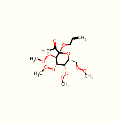 C=CCO[C@@]1(C(C)=O)O[C@H](COOC)[C@H](OOC)[C@H](OOC)[C@H]1OOC